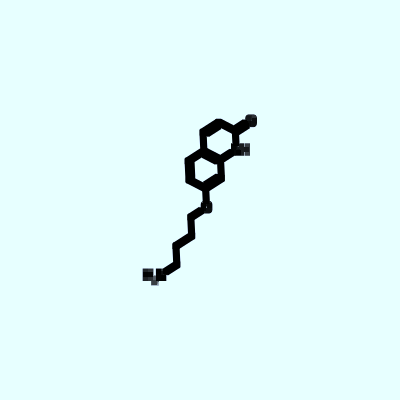 NCCCCOc1ccc2ccc(=O)[nH]c2c1